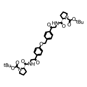 CC(C)(C)OC(=O)N1CCC[C@H]1C(=O)NCC(=O)c1ccc(COc2ccc(C(=O)CNC(=O)[C@@H]3CCCN3C(=O)OC(C)(C)C)cc2)cc1